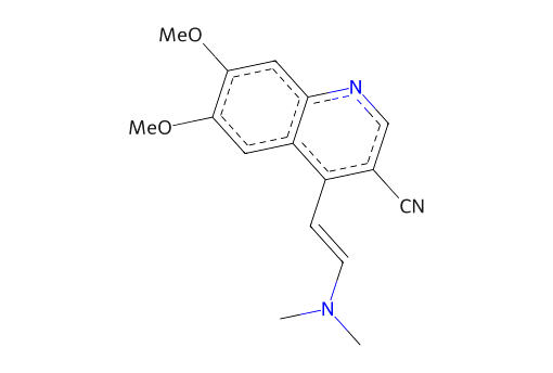 COc1cc2ncc(C#N)c(/C=C/N(C)C)c2cc1OC